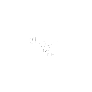 Nc1cc(OCC2(CO)CCC2)c2ccc(-c3ccn[nH]3)cc2n1